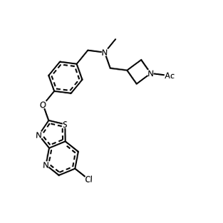 CC(=O)N1CC(CN(C)Cc2ccc(Oc3nc4ncc(Cl)cc4s3)cc2)C1